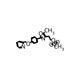 Cc1oc(-c2ccc(OCc3ccccn3)cc2)nc1CCOS(C)(=O)=O